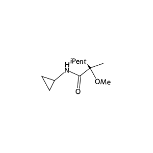 CCC[C@H](C)C(C)(OC)C(=O)NC1CC1